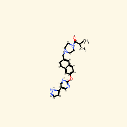 CC(C)C(=O)N1CCN(Cc2ccc3cc(Oc4ncc(-c5ccn[nH]5)cn4)ccc3c2)CC1